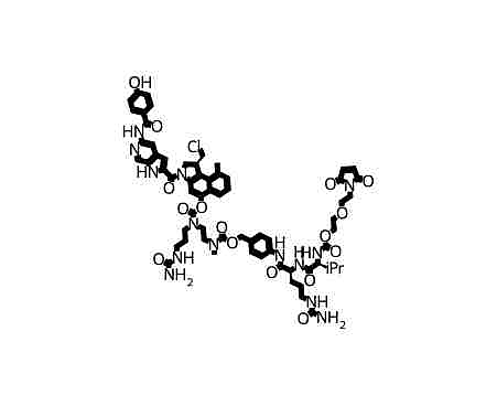 Cc1cccc2c(OC(=O)N(CCCNC(N)=O)CCN(C)C(=O)OCc3ccc(NC(=O)[C@H](CCCNC(N)=O)NC(=O)[C@@H](NC(=O)OCCOCCN4C(=O)C=CC4=O)C(C)C)cc3)cc3c(c12)[C@H](CCl)CN3C(=O)c1cc2cc(NC(=O)c3ccc(O)cc3)ncc2[nH]1